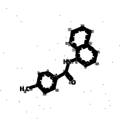 Cc1ccc(C(=O)Nc2cccc3cccnc23)cc1